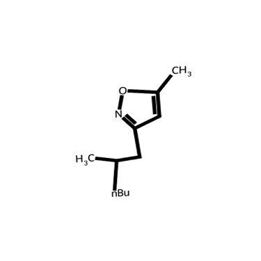 CCCCC(C)Cc1cc(C)on1